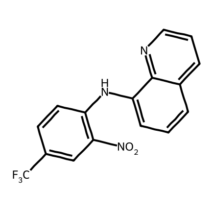 O=[N+]([O-])c1cc(C(F)(F)F)ccc1Nc1cccc2cccnc12